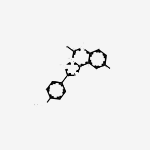 COc1ccc(-c2nc3c4cc(Cl)ccc4nc(Cl)n3n2)cc1